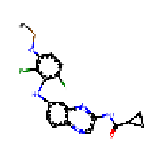 CCCSNc1ccc(F)c(Nc2ccc3ncc(NC(=O)C4CC4)nc3c2)c1F